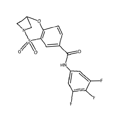 O=C(Nc1cc(F)c(F)c(F)c1)c1ccc2c(c1)S(=O)(=O)N1CC(C1)O2